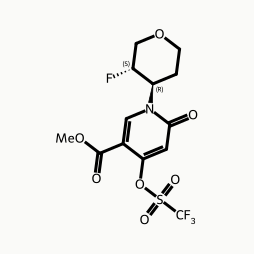 COC(=O)c1cn([C@@H]2CCOC[C@H]2F)c(=O)cc1OS(=O)(=O)C(F)(F)F